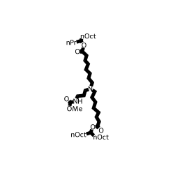 CCCCCCCCC(CCC)OC(=O)CCCCCCCN(CCCCCCCC(=O)OC(CCCCCCCC)CCCCCCCC)CCCNC(=O)OC